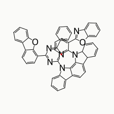 C1=CC2c3ccc4c5ccccc5n(-c5nc(-c6ccccc6)nc(-c6cccc7c6oc6ccccc67)n5)c4c3N(c3ccccc3-c3nc4ccccc4o3)C2C=C1